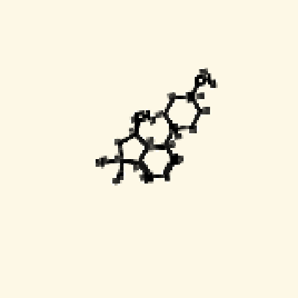 C[C@@H]1CC(F)(F)c2ncnc(N3CCN(C)CC3)c21